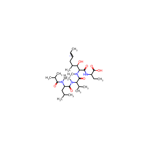 C/C=C/CC(C)C(O)C(C(=O)NC(CC)C(=O)O)N(C)C(=O)C(C(C)C)N(C)C(=O)C(CC(C)C)N(C)C(=O)C(C)C